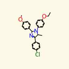 CCOc1ccc(N2C(C)C(c3ccc(Cl)cc3)=NC2c2ccc(OC)cc2)cc1